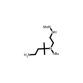 CCCCN(CCNNC)C(C)(C)CCN